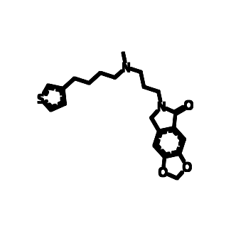 CN(CCCCc1ccsc1)CCCN1Cc2cc3c(cc2C1=O)OCO3